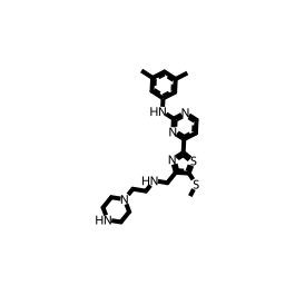 CSc1sc(-c2ccnc(Nc3cc(C)cc(C)c3)n2)nc1CNCCN1CCNCC1